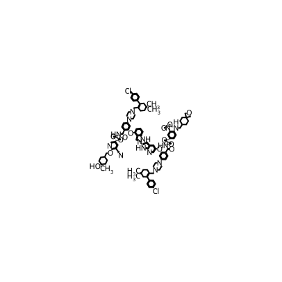 CC1(C)CCC(CN2CCN(c3ccc(C(=O)NS(=O)(=O)c4ccc(NCC5CCC6(CC5)COC6)c([N+](=O)[O-])c4)c(Oc4cnc5[nH]ccc5c4)c3)CC2)=C(c2ccc(Cl)cc2)C1.CC1(C)CCC(CN2CCN(c3ccc(C(=O)NS(=O)(=O)c4cnc(OCC5CCC(C)(O)CC5)c(C#N)c4)c(Oc4cccc5[nH]ncc45)c3)CC2)=C(c2ccc(Cl)cc2)C1